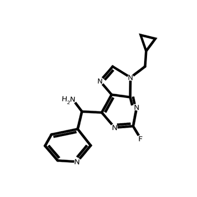 NC(c1cccnc1)c1nc(F)nc2c1ncn2CC1CC1